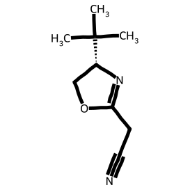 CC(C)(C)[C@H]1COC(CC#N)=N1